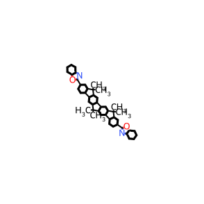 CC1(C)c2cc(-c3nc4ccccc4o3)ccc2-c2cc3c(cc21)-c1cc2c(cc1C3(C)C)-c1ccc(-c3nc4ccccc4o3)cc1C2(C)C